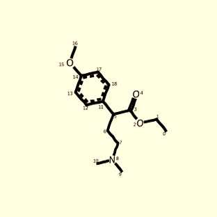 CCOC(=O)C(CCN(C)C)c1ccc(OC)cc1